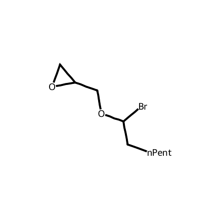 CCCCCCC(Br)OCC1CO1